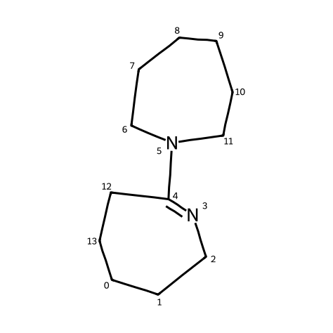 C1CCN=C(N2CCCCCC2)CC1